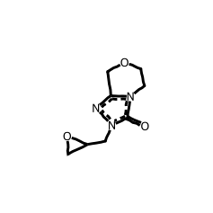 O=c1n(CC2CO2)nc2n1CCOC2